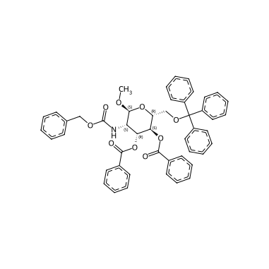 CO[C@H]1O[C@H](COC(c2ccccc2)(c2ccccc2)c2ccccc2)[C@@H](OC(=O)c2ccccc2)[C@H](OC(=O)c2ccccc2)[C@@H]1NC(=O)OCc1ccccc1